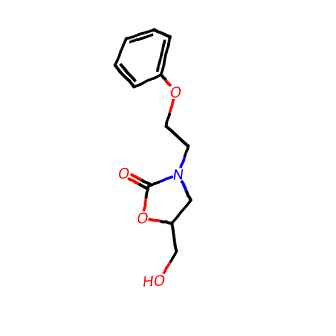 O=C1OC(CO)CN1CCOc1ccccc1